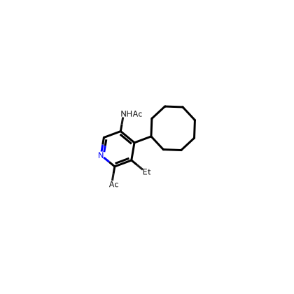 CCc1c(C(C)=O)ncc(NC(C)=O)c1C1CCCCCCC1